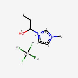 CCC(O)[n+]1ccn(C)c1.F[B-](F)(F)F